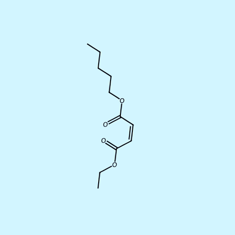 CCCCCOC(=O)/C=C\C(=O)OCC